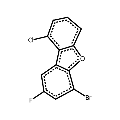 Fc1cc(Br)c2oc3cccc(Cl)c3c2c1